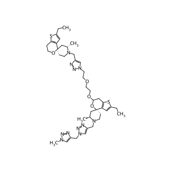 CCc1cc2c(s1)CCO[C@@]21CCN(Cc2cn(CCOCCOC3Cc4sc(CC)cc4[C@]4(CCN(Cc5cn(Cc6cn(C)nn6)nn5)[C@@H](C)C4)O3)nn2)[C@@H](C)C1